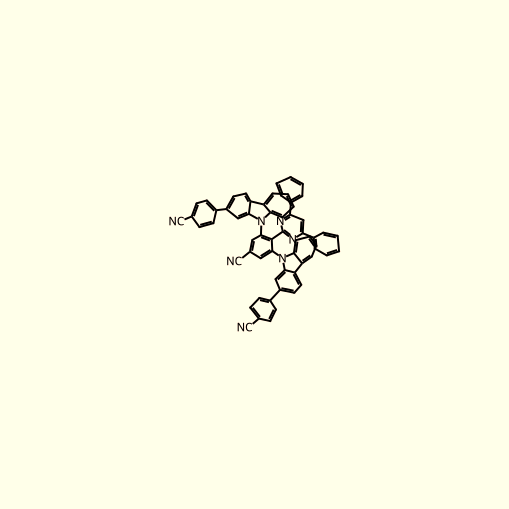 N#Cc1ccc(-c2ccc3c4ccccc4n(-c4cc(C#N)cc(-n5c6ccccc6c6ccc(-c7ccc(C#N)cc7)cc65)c4-c4nc(-c5ccccc5)cc(-c5ccccc5)n4)c3c2)cc1